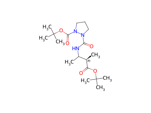 CC(NC(=O)N1CCCN1C(=O)OC(C)(C)C)[C@@H](C)C(=O)OC(C)(C)C